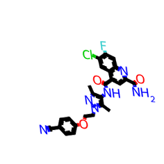 Cc1nn(CCOc2ccc(C#N)cc2)c(C)c1NC(=O)c1cc(C(N)=O)nc2cc(F)c(Cl)cc12